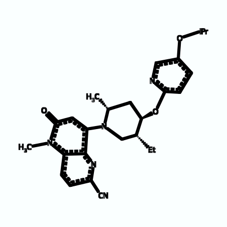 CC[C@@H]1CN(c2cc(=O)n(C)c3ccc(C#N)nc23)[C@H](C)C[C@H]1Oc1ccc(OC(C)C)cn1